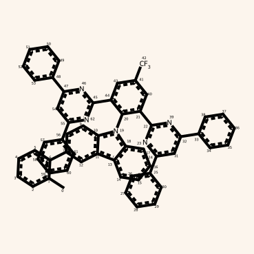 Cc1ccccc1-c1ccc2c(c1)c1ccccc1n2-c1c(-c2nc(-c3ccccc3)cc(-c3ccccc3)n2)cc(C(F)(F)F)cc1-c1nc(-c2ccccc2)cc(-c2ccccc2)n1